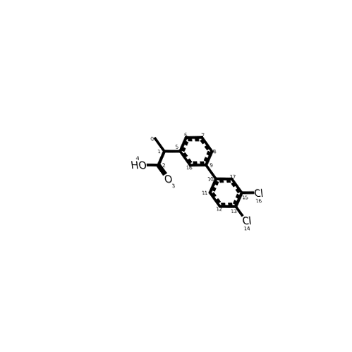 CC(C(=O)O)c1cccc(-c2ccc(Cl)c(Cl)c2)c1